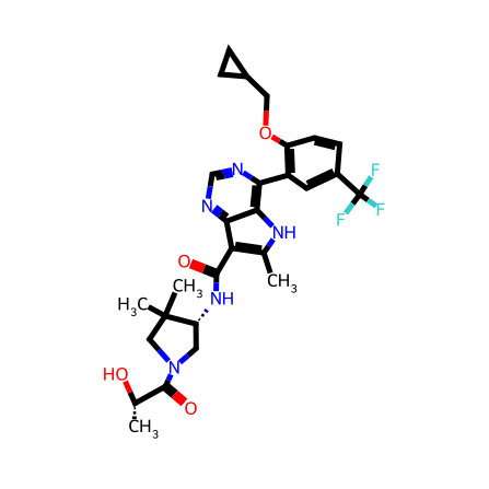 Cc1[nH]c2c(-c3cc(C(F)(F)F)ccc3OCC3CC3)ncnc2c1C(=O)N[C@@H]1CN(C(=O)[C@H](C)O)CC1(C)C